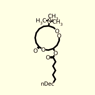 CCCCCCCCCCCCCCCC(=O)OC1CCOOCC([N+](C)(C)C)CCCCCC(=O)OC1